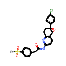 CCS(=O)(=O)c1ccc(CC(=O)Nc2ccc3c(n2)CCC2(c4ccc(Cl)cc4)OC32)cc1